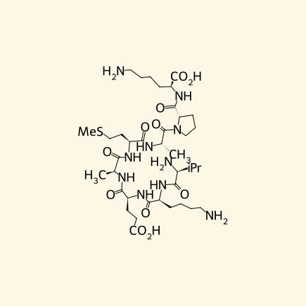 CSCC[C@H](NC(=O)[C@H](C)NC(=O)[C@H](CCC(=O)O)NC(=O)[C@H](CCCCN)NC(=O)[C@@H](N)C(C)C)C(=O)N[C@@H](C)C(=O)N1CCC[C@H]1C(=O)N[C@@H](CCCCN)C(=O)O